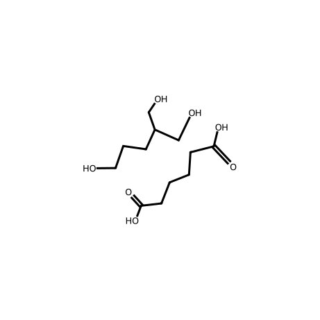 O=C(O)CCCCC(=O)O.OCCCC(CO)CO